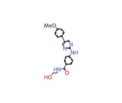 COc1ccc(-c2cnc(Nc3ccc(C(=O)NCCO)cc3)nc2)cc1